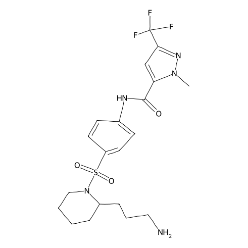 Cn1nc(C(F)(F)F)cc1C(=O)Nc1ccc(S(=O)(=O)N2CCCCC2CCCN)cc1